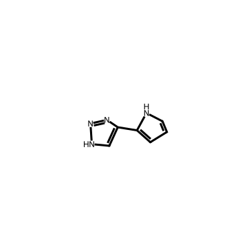 c1c[nH]c(-c2c[nH]nn2)c1